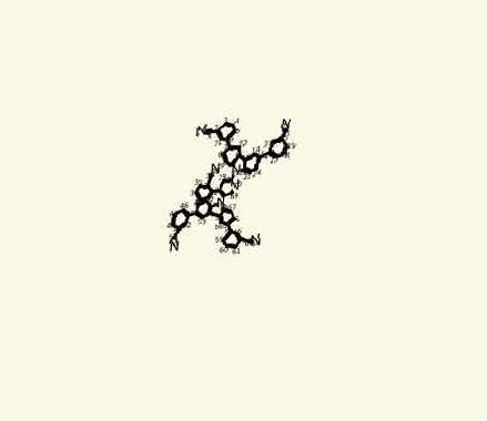 N#Cc1cccc(-c2ccc3c(c2)c2cc(-c4cccc(C#N)c4)ccc2n3-c2cc(-c3ccccc3C#N)c(-n3c4ccc(-c5cccc(C#N)c5)cc4c4cc(-c5cccc(C#N)c5)ccc43)cn2)c1